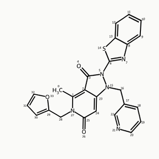 Cc1c2c(=O)n(-c3nc4ccccc4s3)n(Cc3cccnc3)c2cc(=O)n1Cc1ccco1